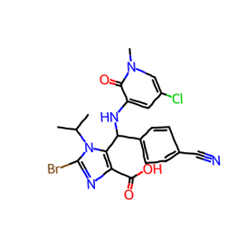 CC(C)n1c(Br)nc(C(=O)O)c1C(Nc1cc(Cl)cn(C)c1=O)c1ccc(C#N)cc1